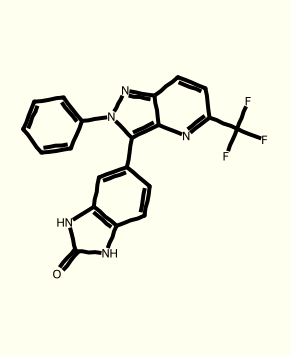 O=c1[nH]c2ccc(-c3c4nc(C(F)(F)F)ccc4nn3-c3ccccc3)cc2[nH]1